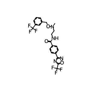 CN(CCNC(=O)c1ccc(-c2noc(C(F)(F)F)n2)cc1)OCc1cccc(C(F)(F)F)c1